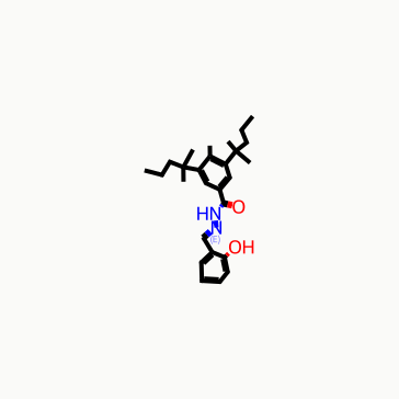 CCCC(C)(C)c1cc(C(=O)N/N=C/c2ccccc2O)cc(C(C)(C)CCC)c1C